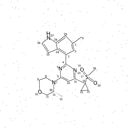 Cc1cc(-c2nc(N3CCOC[C@H]3C)cc(C3(S(C)(=O)=O)CC3)n2)c2cc[nH]c2c1